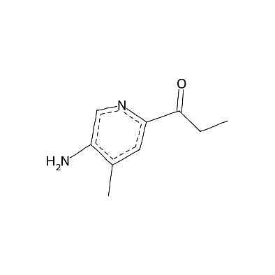 CCC(=O)c1cc(C)c(N)cn1